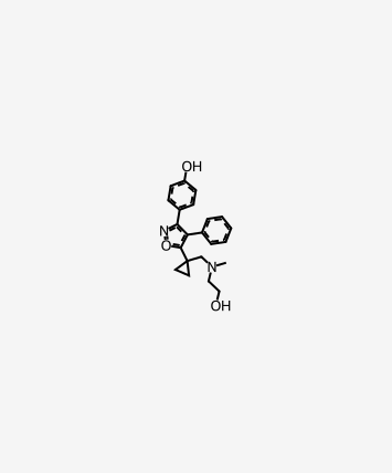 CN(CCO)CC1(c2onc(-c3ccc(O)cc3)c2-c2ccccc2)CC1